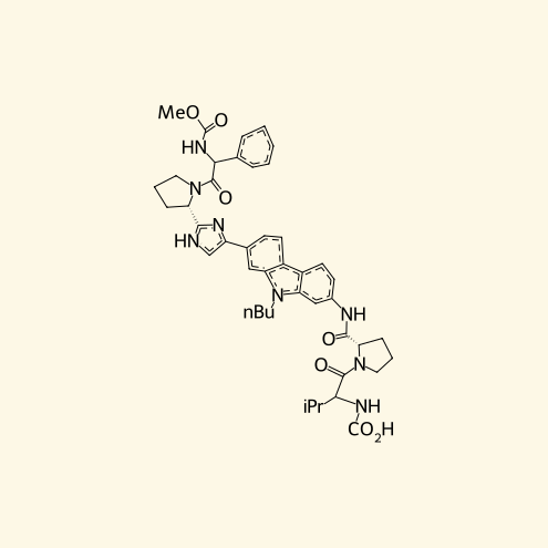 CCCCn1c2cc(NC(=O)[C@@H]3CCCN3C(=O)C(NC(=O)O)C(C)C)ccc2c2ccc(-c3c[nH]c([C@@H]4CCCN4C(=O)C(NC(=O)OC)c4ccccc4)n3)cc21